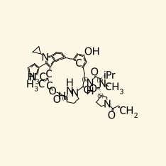 C=CC(=O)N1CC[C@H](C(=O)N(C)[C@H](C(=O)N[C@H]2Cc3cc(O)cc(c3)-c3ccc4c(c3)c(c(-c3cccnc3)n4C3CC3)CC(C)(C)COC(=O)[C@@H]3CCCN(N3)C2=O)C(C)C)C1